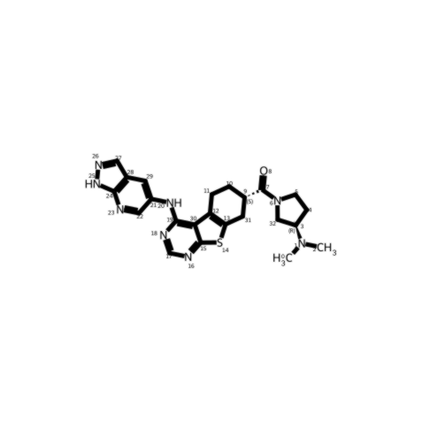 CN(C)[C@@H]1CCN(C(=O)[C@H]2CCc3c(sc4ncnc(Nc5cnc6[nH]ncc6c5)c34)C2)C1